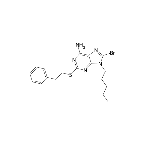 CCCCCn1c(Br)nc2c(N)nc(SCCc3ccccc3)nc21